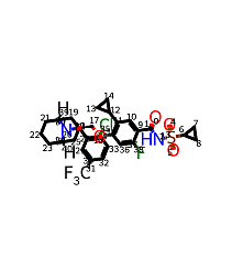 O=C(NS(=O)(=O)C1CC1)c1cc(C2CC2)c(OC[C@@H]2C[C@H]3CCC[C@@H](C2)N3Cc2cc(C(F)(F)F)ccc2Cl)cc1F